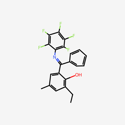 CCc1cc(C)cc(C(=Nc2c(F)c(F)c(F)c(F)c2F)c2ccccc2)c1O